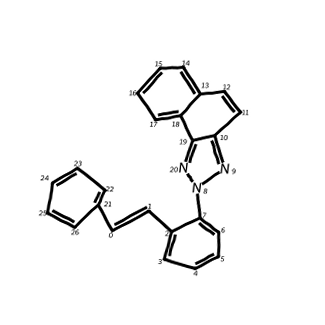 C(=C\c1ccccc1-n1nc2ccc3ccccc3c2n1)/c1ccccc1